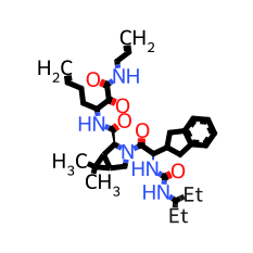 C=CCCC(NC(=O)[C@@H]1C2C(CN1C(=O)[C@@H](NC(=O)NC(CC)CC)C1Cc3ccccc3C1)C2(C)C)C(=O)C(=O)NCC=C